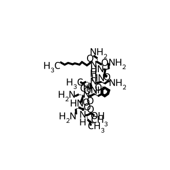 CCCCCCCCCC(=O)N[C@H](CCN)C(=O)N[C@@H](CCN)C(=O)N[C@@H](CCN)C(=O)N[C@@H](CC(C)C)C(=O)N[C@H](Cc1ccccc1)C(=O)N[C@@H](CCN)C(=O)N[C@@H](CCN)C(=O)N[C@@H](CC(C)C)C(=O)O